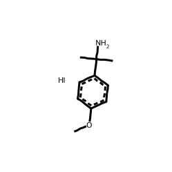 COc1ccc(C(C)(C)N)cc1.I